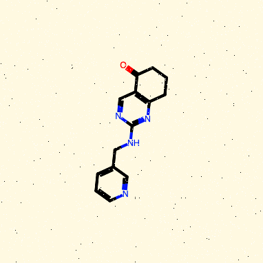 O=C1CCCc2nc(NCc3cccnc3)ncc21